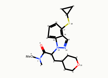 CON(C)C(=O)C(CC1CCOCC1)n1ncc2c(SC3CC3)cccc21